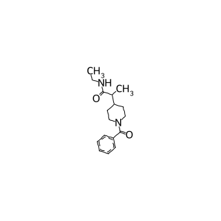 CCNC(=O)C(C)C1CCN(C(=O)c2ccccc2)CC1